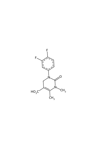 CC1=C(C(=O)O)CN(c2ccc(F)c(F)c2)C(=O)N1C